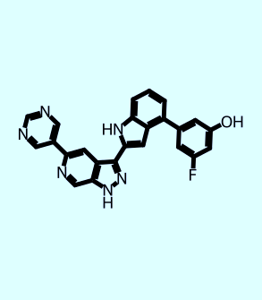 Oc1cc(F)cc(-c2cccc3[nH]c(-c4n[nH]c5cnc(-c6cncnc6)cc45)cc23)c1